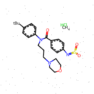 C.CC(C)(C)c1ccc(N(CCCN2CCOCC2)C(=O)c2ccc(N=S(=O)=O)cc2)cc1.Cl